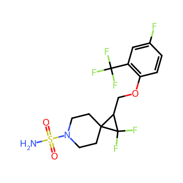 NS(=O)(=O)N1CCC2(CC1)C(COc1ccc(F)cc1C(F)(F)F)C2(F)F